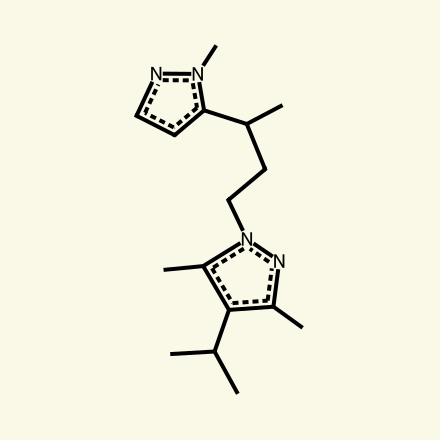 Cc1nn(CCC(C)c2ccnn2C)c(C)c1C(C)C